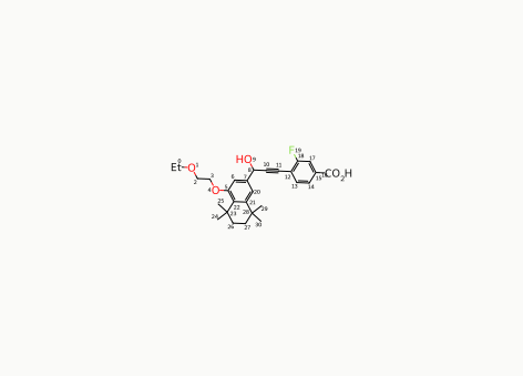 CCOCCOc1cc(C(O)C#Cc2ccc(C(=O)O)cc2F)cc2c1C(C)(C)CCC2(C)C